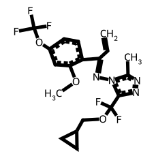 C=C/C(=N\n1c(C)nnc1C(F)(F)OCC1CC1)c1ccc(OC(F)(F)F)cc1OC